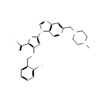 CN1CCN(Cc2cc3ncn(-c4cc(OCc5ccccc5C(F)(F)F)c(C(N)=O)s4)c3cn2)CC1